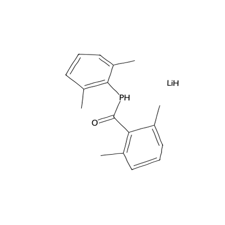 Cc1cccc(C)c1PC(=O)c1c(C)cccc1C.[LiH]